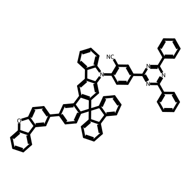 N#Cc1cc(-c2nc(-c3ccccc3)nc(-c3ccccc3)n2)ccc1-n1c2ccccc2c2cc3c(cc21)C1(c2ccccc2-c2ccccc21)c1ccc(-c2ccc4oc5ccccc5c4c2)cc1-3